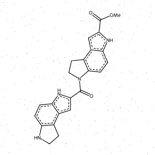 COC(=O)c1cc2c3c(ccc2[nH]1)N(C(=O)c1cc2c4c(ccc2[nH]1)NCC4)CC3